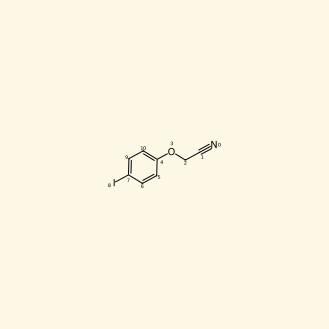 N#CCOc1ccc(I)cc1